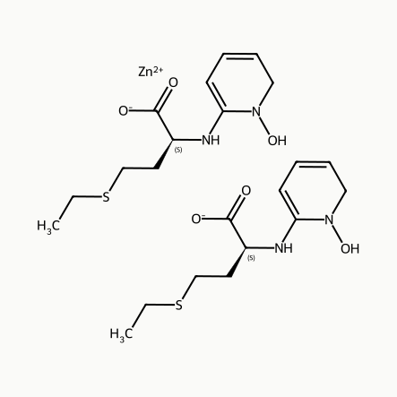 CCSCC[C@H](NC1=CC=CCN1O)C(=O)[O-].CCSCC[C@H](NC1=CC=CCN1O)C(=O)[O-].[Zn+2]